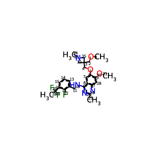 COCC1(COc2cc3c(NCc4cccc(C(C)(F)F)c4F)nc(C)nc3cc2OC)CN(C)C1